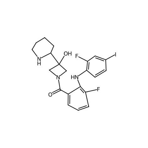 O=C(c1cccc(F)c1Nc1ccc(I)cc1F)N1CC(O)(C2CCCCN2)C1